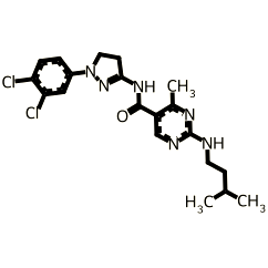 Cc1nc(NCCC(C)C)ncc1C(=O)NC1=NN(c2ccc(Cl)c(Cl)c2)CC1